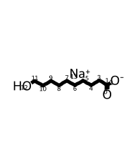 O=C([O-])CCCCCCCCCO.[Na+]